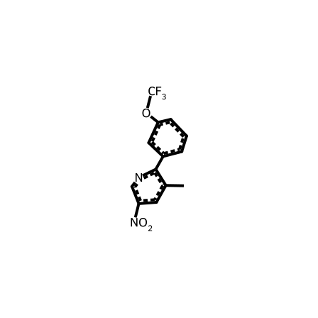 Cc1cc([N+](=O)[O-])cnc1-c1cccc(OC(F)(F)F)c1